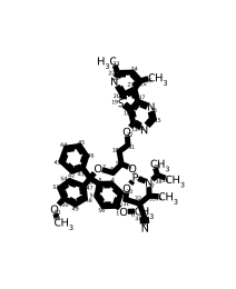 COc1ccc(C(OCC(CCOc2ncnc3c2sc2nc(C)cc(C)c23)OP2OCC(C#N)C(C)N2C(C)C)(c2ccccc2)c2ccc(OC)cc2)cc1